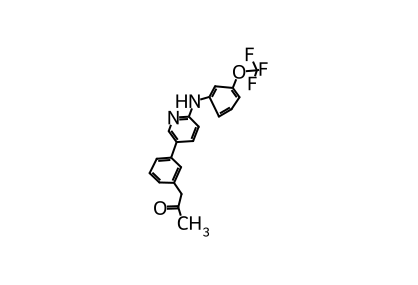 CC(=O)Cc1cccc(-c2ccc(Nc3cccc(OC(F)(F)F)c3)nc2)c1